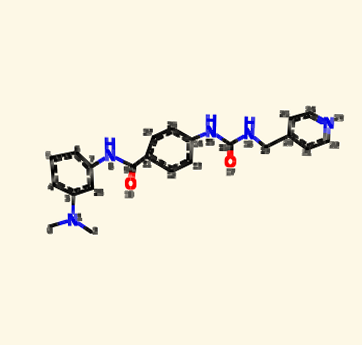 CN(C)c1cccc(NC(=O)c2ccc(NC(=O)NCc3ccncc3)cc2)c1